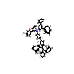 c1ccc(-c2cc(-c3ccccc3)cc(N(c3ccc(-c4ccc(C(c5ccccc5)(c5ccccc5)c5ccccc5)cc4)cc3)c3ccc4oc5ccccc5c4c3)c2)cc1